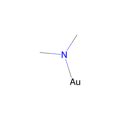 C[N](C)[Au]